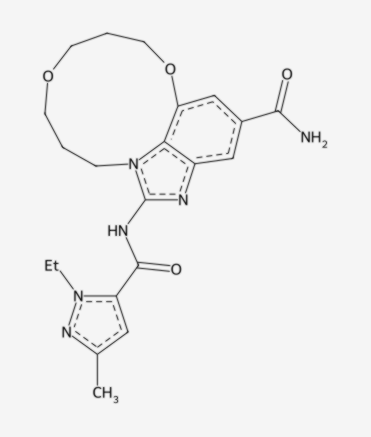 CCn1nc(C)cc1C(=O)Nc1nc2cc(C(N)=O)cc3c2n1CCCOCCCO3